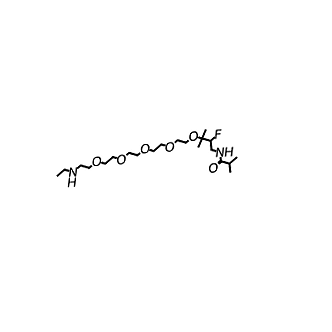 CCNCCOCCOCCOCCOCCOC(C)(C)C(F)CNC(=O)C(C)C